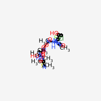 COc1cc(-c2scnc2C)ccc1[C@H](C)NC(=O)[C@@H]1C[C@@H](O)CN1C(=O)C(c1cc(OCCOCCN(C)C(=O)CCNc2nc(N3CCN(C(C)=O)CC3)c3cc(Cl)c(-c4cc(O)cc5ccccc45)c(F)c3n2)no1)C(C)C